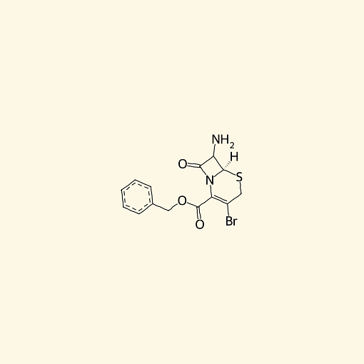 NC1C(=O)N2C(C(=O)OCc3ccccc3)=C(Br)CS[C@H]12